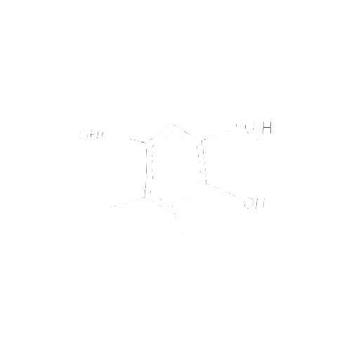 Cc1c(C=O)cc(C(=O)O)c(O)c1C